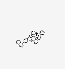 CC1(C)c2ccccc2C2(c3ccccc3-n3c4ccccc4c4cccc2c43)c2cccc(-c3ccc(-c4cccc5ccccc45)cc3)c21